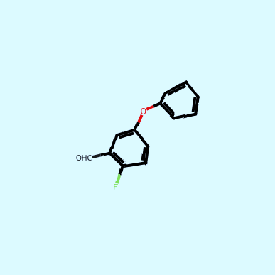 O=Cc1cc(Oc2ccccc2)ccc1F